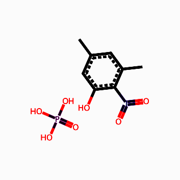 Cc1cc(C)c(I(=O)=O)c(O)c1.O=P(O)(O)O